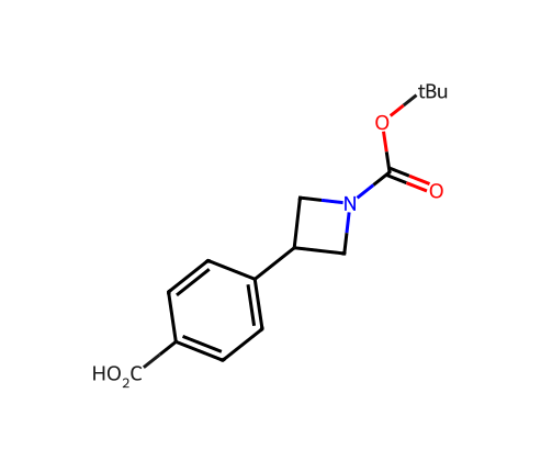 CC(C)(C)OC(=O)N1CC(c2ccc(C(=O)O)cc2)C1